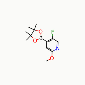 COc1cc(B2OC(C)(C)C(C)(C)O2)c(F)cn1